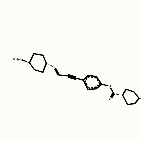 CCCCC[C@H]1CC[C@H](C=CC#Cc2ccc(OC(=O)[C@H]3CC[C@H](CC)CC3)cc2)CC1